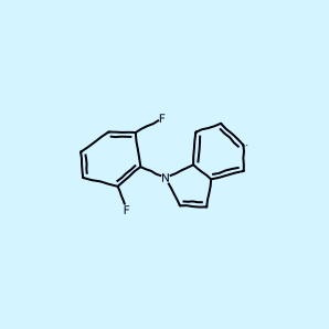 Fc1cccc(F)c1-n1ccc2c[c]ccc21